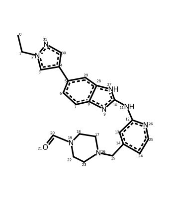 CCn1cc(-c2ccc3nc(Nc4cc(CN5CCN(C=O)CC5)ccn4)[nH]c3c2)cn1